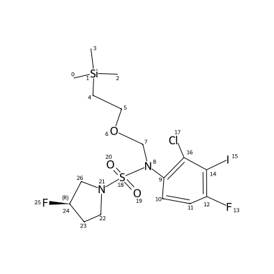 C[Si](C)(C)CCOCN(c1ccc(F)c(I)c1Cl)S(=O)(=O)N1CC[C@@H](F)C1